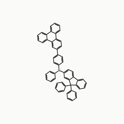 c1ccc(N(c2ccc(-c3ccc4c5ccccc5c5ccccc5c4c3)cc2)c2ccc3c(c2)C(c2ccccc2)(c2ccccc2)c2ccccc2-3)cc1